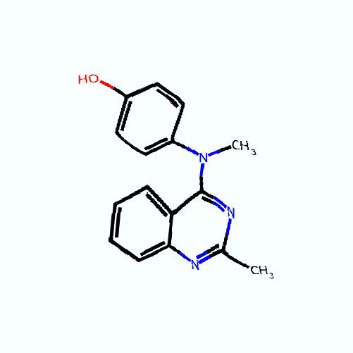 Cc1nc(N(C)c2ccc(O)cc2)c2ccccc2n1